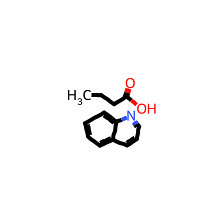 CCCC(=O)O.c1ccc2ncccc2c1